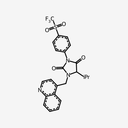 CC(C)C1C(=O)N(c2ccc(S(=O)(=O)C(F)(F)F)cc2)C(=O)N1Cc1ccnc2ccccc12